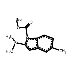 CB(C)c1cc2cc(C)ccc2n1C(=O)OC(C)(C)C